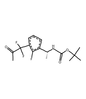 CC(=O)C(F)(F)c1cccc([C@@H](C)NC(=O)OC(C)(C)C)c1F